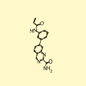 C=CC(=O)Nc1cccc(-c2ccc3cnc(C(N)=O)nc3c2)c1